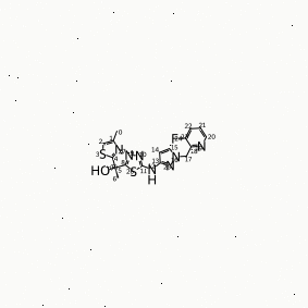 Cc1csc([C@@](C)(O)c2nnc(Nc3ccn(Cc4ncccc4F)n3)s2)n1